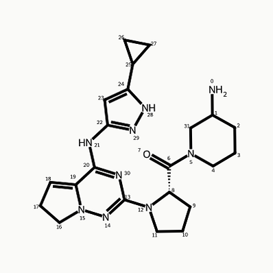 NC1CCCN(C(=O)[C@@H]2CCCN2C2=NN3CCC=C3C(Nc3cc(C4CC4)[nH]n3)=N2)C1